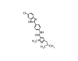 CC(C)Cc1cc(C(=O)Nc2ccc(-c3nc4ccc(Cl)cc4[nH]3)cc2)n(C)n1